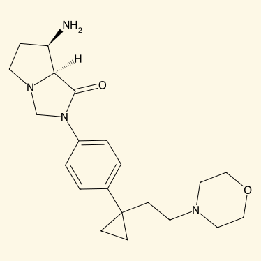 N[C@@H]1CCN2CN(c3ccc(C4(CCN5CCOCC5)CC4)cc3)C(=O)[C@H]12